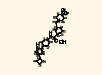 Cl.O=C(Nc1ccc(-c2nc(C3CCC3)n[nH]2)cc1)c1cccc(CN2CCS(=O)(=O)CC2)c1